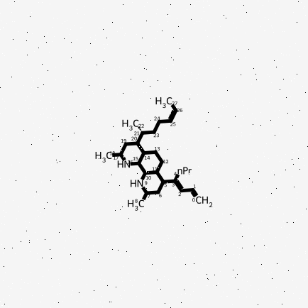 C=C/C=C(\CCC)C1CC(C)NC2C1CCC1C2NC(C)CC1[C@H](C)CC/C=C\C